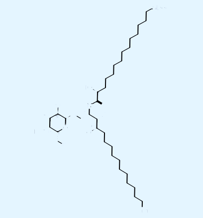 CCCCCCCCCCCCCCCCCCCCCC[C@H](O)C(=O)N[C@@H](CO[C@H]1O[C@H](CO)[C@H](O)[C@H](O)[C@H]1O)[C@H](O)[C@H](O)CCCCCCCCCCCC(C)C